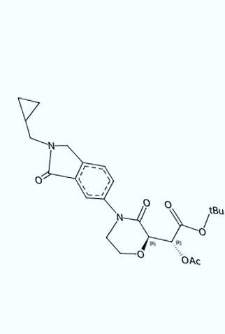 CC(=O)O[C@@H](C(=O)OC(C)(C)C)[C@H]1OCCN(c2ccc3c(c2)C(=O)N(CC2CC2)C3)C1=O